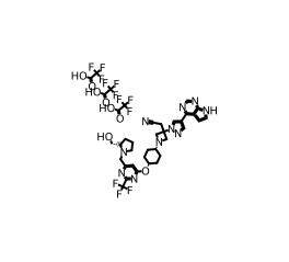 N#CCC1(n2cc(-c3ncnc4[nH]ccc34)cn2)CN([C@H]2CC[C@@H](Oc3cc(CN4CCC[C@H]4CO)nc(C(F)(F)F)n3)CC2)C1.O=C(O)C(F)(F)F.O=C(O)C(F)(F)F.O=C(O)C(F)(F)F